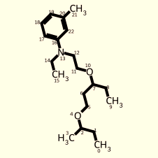 CCC(C)OCCC(CC)OCCN(CC)c1cccc(C)c1